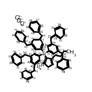 CCCCC1=CC[C]([Ti+3])=C1[Si](c1cc(Cc2ccccc2)cc(Cc2ccccc2)c1)(c1cc(Cc2ccccc2)cc(Cc2ccccc2)c1)c1cc(Cc2ccccc2)cc(Cc2ccccc2)c1.[Cl-].[Cl-].[Cl-]